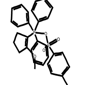 COC1=C(P(OS(=O)(=O)c2ccc(C)cc2)(c2ccccc2)(c2ccccc2)c2ccccc2)CCC1